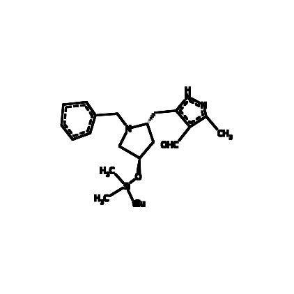 Cc1n[nH]c(C[C@@H]2C[C@@H](O[Si](C)(C)C(C)(C)C)CN2Cc2ccccc2)c1C=O